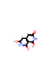 O=C1CC2=C(C(=O)N1)C(=O)NC(=O)C2